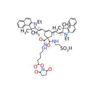 CCN1/C(=C/C=C2C=C(/C=C/C3=[N+](CC)c4ccc5ccccc5c4C3(C)C)CC(C(=O)NCCCCCC(=O)ON3C(=O)CCC3=O)(C(=O)NCCS(=O)(=O)O)C/2)C(C)(C)c2c1ccc1ccccc21